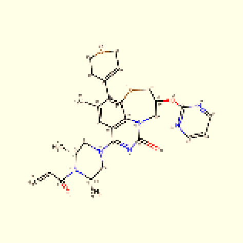 C=CC(=O)N1[C@H](C)CN(c2nc(=O)n3c4c(c(C5=CCSCC5)c(C(F)(F)F)cc24)SC[C@@H](Oc2ncccn2)C3)C[C@@H]1C